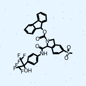 CS(=O)(=O)c1ccc2c(c1)CN(C(=O)OC1c3ccccc3-c3ccccc31)C2C(=O)Nc1ccc(C(O)(C(F)(F)F)C(F)(F)F)cc1